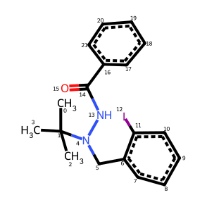 CC(C)(C)N(Cc1ccccc1I)NC(=O)c1ccccc1